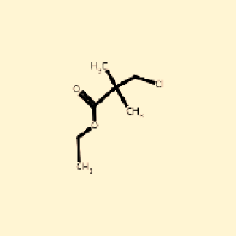 CCOC(=O)C(C)(C)[CH]Cl